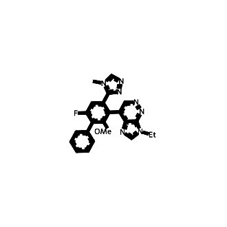 CCn1cnc2c(-c3c(-c4nncn4C)cc(F)c(-c4ccccc4)c3OC)cnnc21